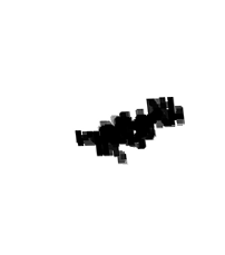 CSc1sc(C(=N)N)cc1-c1nc(-c2ccc(C(=N)N)cc2)cs1